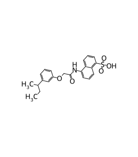 CCC(C)c1cccc(OCC(=O)Nc2cccc3c(S(=O)(=O)O)cccc23)c1